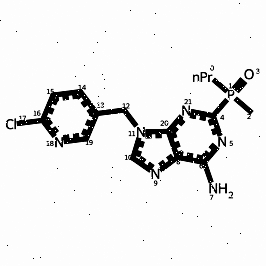 CCCP(C)(=O)c1nc(N)c2ncn(Cc3ccc(Cl)nc3)c2n1